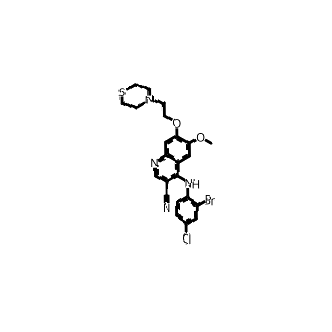 COc1cc2c(Nc3ccc(Cl)cc3Br)c(C#N)cnc2cc1OCCN1CCSCC1